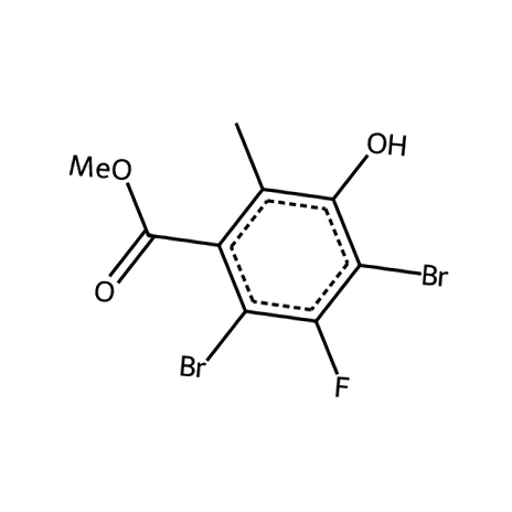 COC(=O)c1c(C)c(O)c(Br)c(F)c1Br